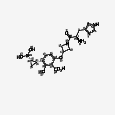 N[C@H](Cc1c[nH]cn1)C(=O)N1CC(Oc2ccc([C@@H]3C[C@@H]3B(O)O)c(O)c2C(=O)O)C1